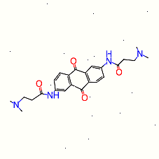 CN(C)CCC(=O)Nc1ccc2c(c1)C(=O)c1ccc(NC(=O)CCN(C)C)cc1C2=O